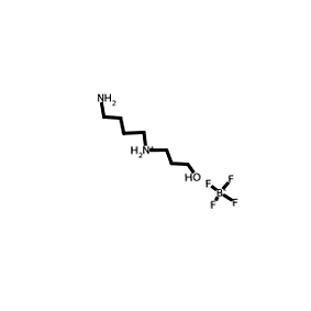 F[B-](F)(F)F.NCCCC[NH2+]CCCO